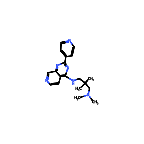 CN(C)CC(C)(C)CNc1nc(-c2ccncc2)nc2cnccc12